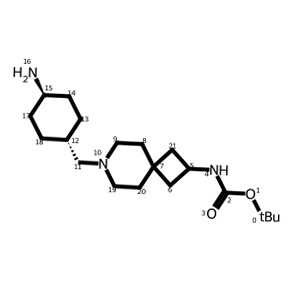 CC(C)(C)OC(=O)NC1CC2(CCN(C[C@H]3CC[C@H](N)CC3)CC2)C1